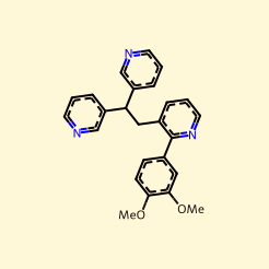 COc1ccc(-c2ncccc2CC(c2cccnc2)c2cccnc2)cc1OC